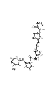 CC(C(N)=O)n1cnc(/C=C/c2csc(NC(=O)c3cccn3Cc3ccnc(F)c3)n2)c1